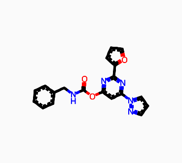 O=C(NCc1ccccc1)Oc1cc(-n2cccn2)nc(-c2ccco2)n1